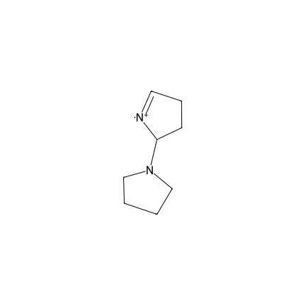 C1=[N+]C(N2CCCC2)CC1